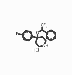 Cl.Fc1ccc(C2(OC(c3ccccc3)C(F)(F)F)CCNCC2)cc1